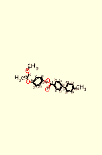 COC[C@@H](C)Oc1ccc(OC(=O)c2ccc(-c3ccc(C)cc3)cc2)cc1